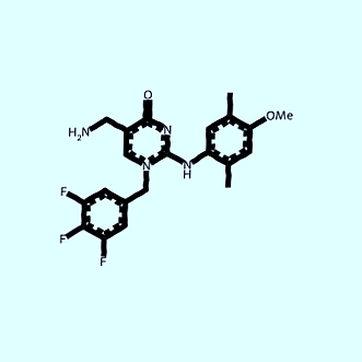 COc1cc(C)c(Nc2nc(=O)c(CN)cn2Cc2cc(F)c(F)c(F)c2)cc1C